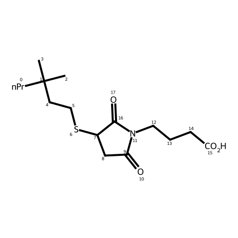 CCCC(C)(C)CCSC1CC(=O)N(CCCC(=O)O)C1=O